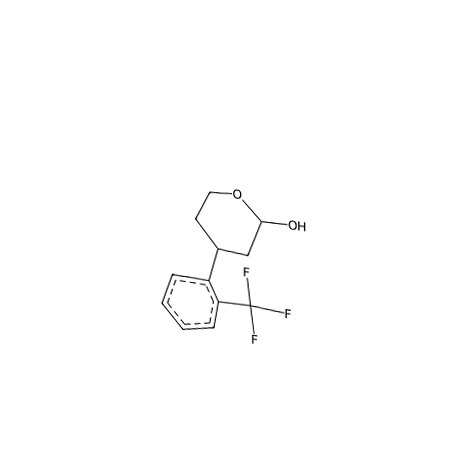 OC1CC(c2ccccc2C(F)(F)F)CCO1